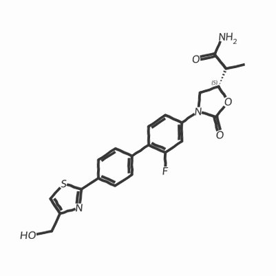 CC(C(N)=O)[C@H]1CN(c2ccc(-c3ccc(-c4nc(CO)cs4)cc3)c(F)c2)C(=O)O1